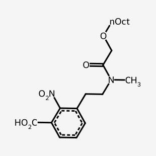 CCCCCCCCOCC(=O)N(C)CCc1cccc(C(=O)O)c1[N+](=O)[O-]